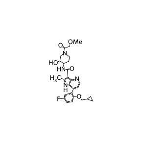 COCC(=O)N1CC[C@@H](NC(=O)c2c(C)[nH]c3c(-c4cc(F)ccc4OCC4CC4)ccnc23)[C@@H](O)C1